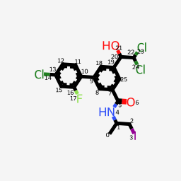 CC(CI)NC(=O)c1cc(-c2ccc(Cl)cc2F)cc(C(O)C(Cl)Cl)c1